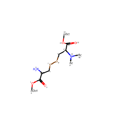 CCCCCCCCOC(=O)C(N)CSSCC(C(=O)OCCCCCCCC)N(C(C)=O)C(C)=O